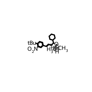 C[SiH](C)OC(C1CCCCC1)[C@@H](C=Cc1ccc(C(C)(C)C)c([N+](=O)[O-])c1)C(C)(C)C